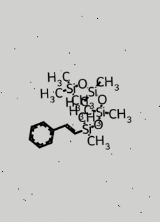 C[Si](C)(C)O[Si](C)(C)O[Si](C)(C)O[Si](C)(C)C=Cc1ccccc1